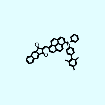 Cc1cc(C)c(-c2ccc(N(c3ccccc3)c3ccc4ccc5c(C=C6C(=O)c7cc8ccccc8cc7C6=O)ccc6ccc3c4c65)cc2)c(C)c1